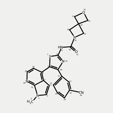 Cn1ccc2c(-c3sc(NC(=O)N4CC5(COC5)C4)nc3-c3cccc(C#N)c3)ccnc21